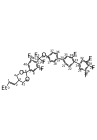 CC/C=C/C1COC(c2cc(F)c(C(F)(F)Oc3ccc(-c4ccc(-c5cc(F)c(F)c(F)c5)c(F)c4)cc3)c(F)c2)OC1